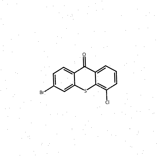 O=c1c2ccc(Br)cc2sc2c(Cl)cccc12